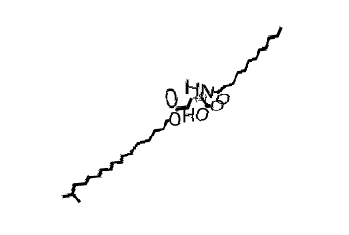 CCCCCCCCCCCC(=O)N[C@@H](CCC(=O)OCCCCCCCCCCCCCCCC(C)C)C(=O)O